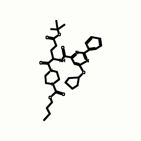 CCCCOC(=O)N1CCN(C(=O)C(CCC(=O)OC(C)(C)C)NC(=O)c2cc(OC3CCCC3)nc(-c3ccccc3)n2)CC1